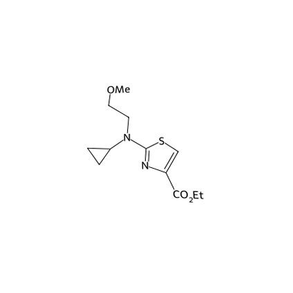 CCOC(=O)c1csc(N(CCOC)C2CC2)n1